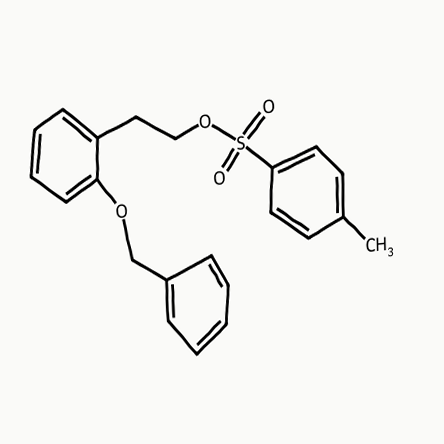 Cc1ccc(S(=O)(=O)OCCc2ccccc2OCc2ccccc2)cc1